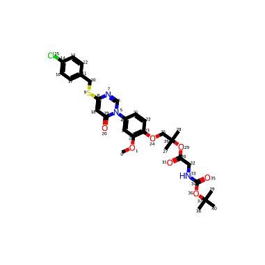 COc1cc(-n2cnc(SCc3ccc(Cl)cc3)cc2=O)ccc1OCC(C)(C)OC(=O)CNC(=O)OC(C)(C)C